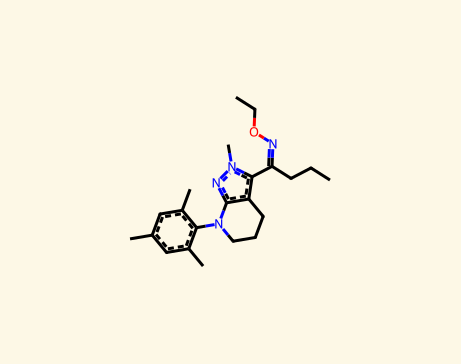 CCC/C(=N/OCC)c1c2c(nn1C)N(c1c(C)cc(C)cc1C)CCC2